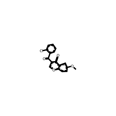 COc1ccc2occ(C(=O)c3ccccc3Cl)c(=O)c2c1